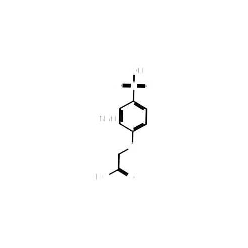 O=C(O)COc1ccc(S(=O)(=O)O)cc1.[NaH]